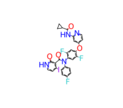 O=C(Nc1cc(Oc2cc(F)c(N(C(=O)c3c(I)cc[nH]c3=O)c3ccc(F)cc3)cc2F)ccn1)C1CC1